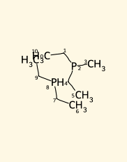 CCP(C)CC.CCPCC